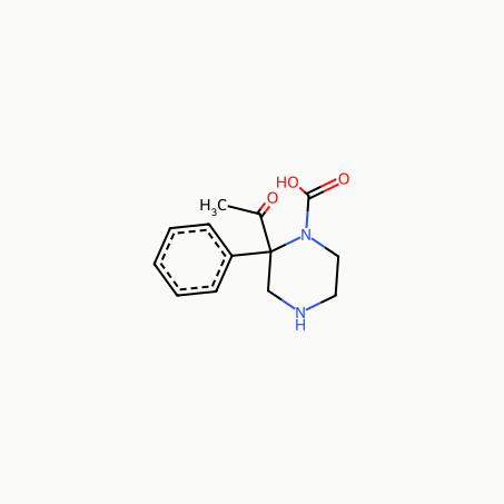 CC(=O)C1(c2ccccc2)CNCCN1C(=O)O